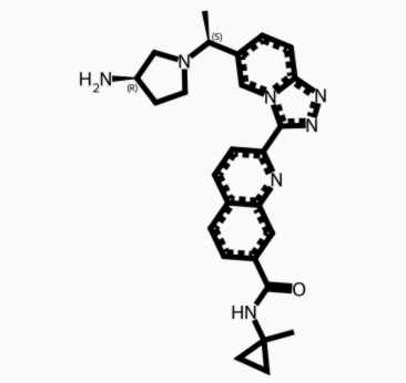 C[C@@H](c1ccc2nnc(-c3ccc4ccc(C(=O)NC5(C)CC5)cc4n3)n2c1)N1CC[C@@H](N)C1